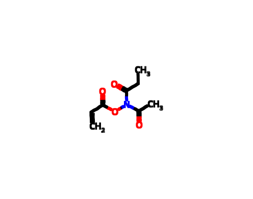 C=CC(=O)ON(C(C)=O)C(=O)CC